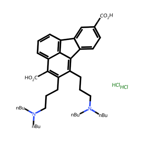 CCCCN(CCCC)CCCc1c(CCCN(CCCC)CCCC)c2c3c(cccc3c1C(=O)O)-c1cc(C(=O)O)ccc1-2.Cl.Cl